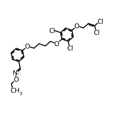 CCO/N=C/c1cccc(OCCCCOc2c(Cl)cc(OCC=C(Cl)Cl)cc2Cl)c1